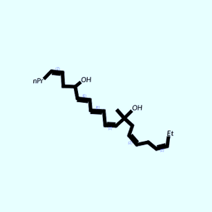 CC/C=C\C/C=C\CC(C)(O)\C=C/C=C/C=C/C(O)C/C=C\CCC